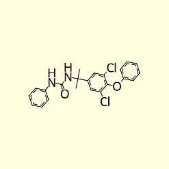 CC(C)(NC(=O)Nc1ccccc1)c1cc(Cl)c(Oc2ccccc2)c(Cl)c1